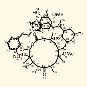 CC[C@H]1OC(=O)[C@H](C)[C@@H](C[C@@H]2C[C@@H](C)[C@H](O)[C@](C)(OC)C2)[C@H](C)[C@@H](O[C@@H]2O[C@H](C)C[C@H](N(C)CCc3cn(CCc4cccc([N+](=O)[O-])c4)nn3)[C@H]2O)[C@](C)(OC)C[C@@H](C)C(=O)[C@H](C)[C@@H](O)[C@]1(C)O